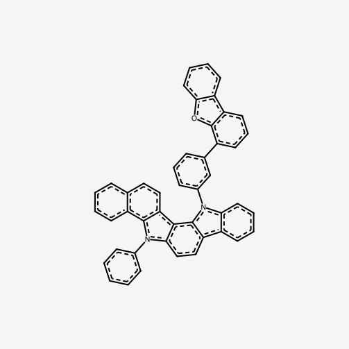 c1ccc(-n2c3ccc4c5ccccc5n(-c5cccc(-c6cccc7c6oc6ccccc67)c5)c4c3c3ccc4ccccc4c32)cc1